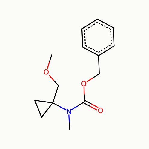 COCC1(N(C)C(=O)OCc2ccccc2)CC1